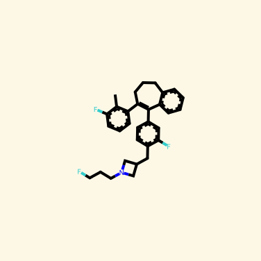 Cc1c(F)cccc1C1=C(c2ccc(CC3CN(CCCF)C3)c(F)c2)c2ccccc2CCC1